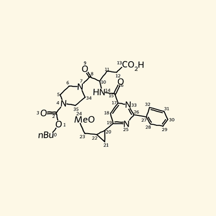 CCCCOC(=O)N1CCN(C(=O)C(CCC(=O)O)NC(=O)c2cc(C3CC3COC)nc(-c3ccccc3)n2)CC1